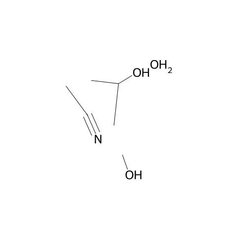 CC#N.CC(C)O.CO.O